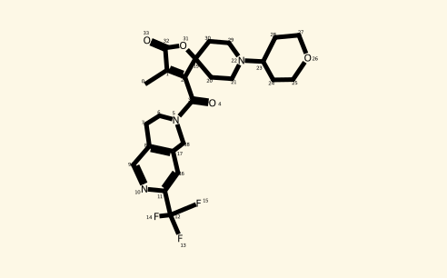 CC1=C(C(=O)N2CCc3cnc(C(F)(F)F)cc3C2)C2(CCN(C3CCOCC3)CC2)OC1=O